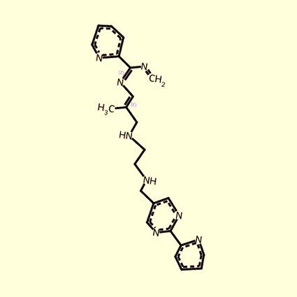 C=N/C(=N\C=C(/C)CNCCNCc1cnc(-c2ccccn2)nc1)c1ccccn1